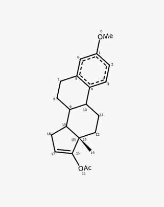 COc1ccc2c(c1)CCC1C2CC[C@]2(C)C(OC(C)=O)=CCC12